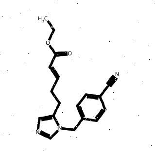 CCOC(=O)C=CCCc1cncn1Cc1ccc(C#N)cc1